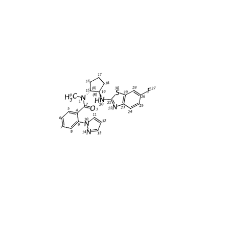 CN(C(=O)c1ccccc1-n1cccn1)[C@@H]1CCC[C@H]1Nc1nc2ccc(F)cc2s1